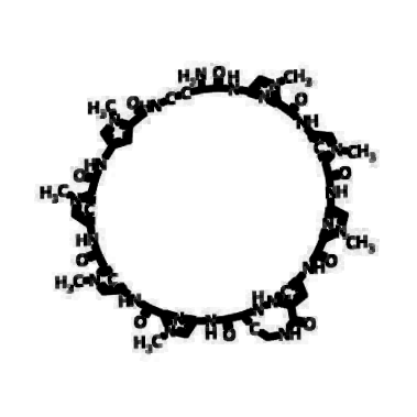 Cn1cc2cc1C(=O)NCCC(N)C(=O)Nc1cn(C)c(n1)C(=O)Nc1cc(n(C)c1)C(=O)Nc1cn(C)c(n1)C(=O)Nc1cc3n(c1)NC(CCNC3=O)C(=O)Nc1cn(C)c(n1)C(=O)Nc1cc(n(C)c1)C(=O)Nc1cc(n(C)c1)C(=O)N2